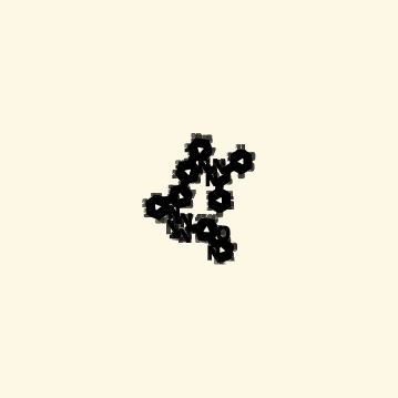 c1ccc(-c2cc(-c3ccccc3)nc(-n3c4ccccc4c4ccc(-c5ccc6c(c5)c5ccccc5n6-c5ncnc(-c6ccc7oc8cccnc8c7c6)n5)cc43)n2)cc1